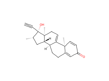 C#C[C@]1(O)[C@@H](C)C[C@H]2[C@@H]3CCC4=CC(=O)C=C[C@]4(C)C3=CC[C@@]21C